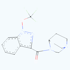 O=C(c1nn(OC(F)(F)F)c2ccccc12)N1CCN2CCC1CC2